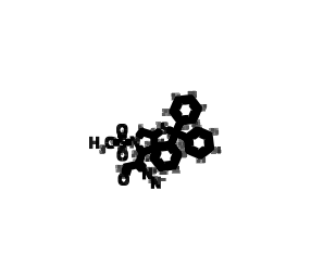 CS(=O)(=O)N1CC(SC(c2ccccc2)(c2ccccc2)c2ccccc2)CC1C(C=O)=[N+]=[N-]